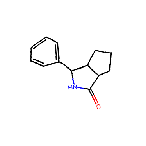 O=C1NC(c2ccccc2)C2CCCC12